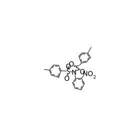 Cc1ccc(S(=O)(=O)N(c2ccccc2[N+](=O)[O-])S(=O)(=O)c2ccc(C)cc2)cc1